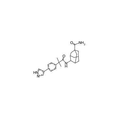 CC(C)(C(=O)NC1C2CC3CC1CC(C(N)=O)(C3)C2)c1ccc(-c2cn[nH]c2)cc1